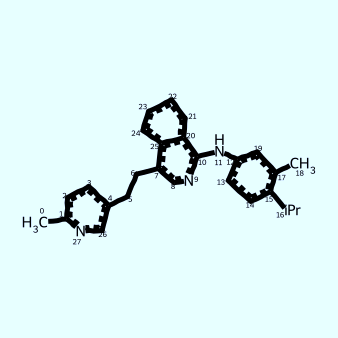 Cc1ccc(CCc2cnc(Nc3ccc(C(C)C)c(C)c3)c3ccccc23)cn1